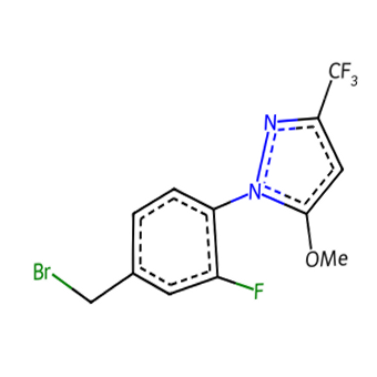 COc1cc(C(F)(F)F)nn1-c1ccc(CBr)cc1F